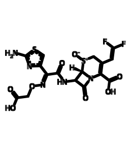 Nc1nc(C(=NOCC(=O)O)C(=O)NC2C(=O)N3C(C(=O)O)=C(C=C(F)F)C[S+]([O-])[C@@H]23)cs1